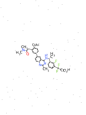 CC(=O)Oc1ccc(-c2ccc3nc(C)nc(N[C@H](C)c4cccc(C(F)(F)C(=O)O)c4F)c3c2)cc1CC(=O)N(C)C